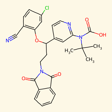 CC(C)(C)N(C(=O)O)c1cc(C(CCN2C(=O)c3ccccc3C2=O)Oc2cc(Cl)ccc2C#N)ccn1